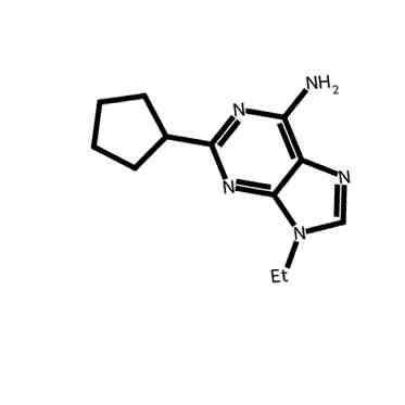 CCn1cnc2c(N)nc(C3CCCC3)nc21